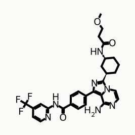 COCCC(=O)N[C@H]1CCC[C@@H](c2nc(-c3ccc(C(=O)Nc4cc(C(F)(F)F)ccn4)cc3)c3c(N)nccn23)C1